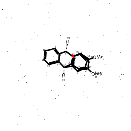 COc1ccc2c(c1)[C@@H]1c3ccccc3[C@H]2c2cc(OC)ccc21